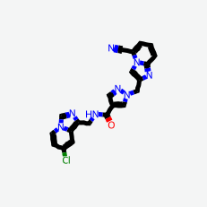 N#Cc1cccc2nc(Cn3cc(C(=O)NCc4ncn5ccc(Cl)cc45)cn3)cn12